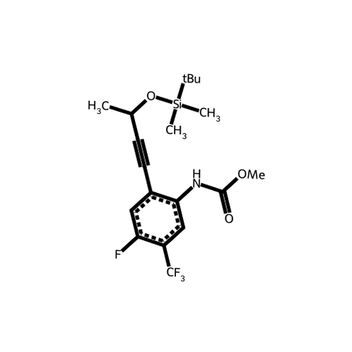 COC(=O)Nc1cc(C(F)(F)F)c(F)cc1C#CC(C)O[Si](C)(C)C(C)(C)C